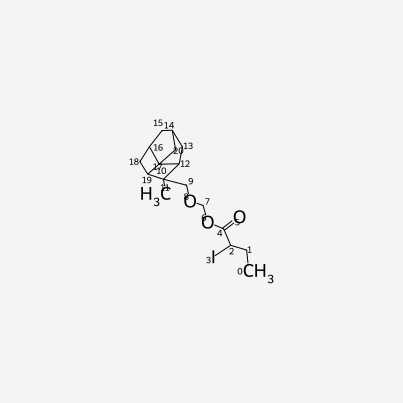 CCC(I)C(=O)OCOCC1(C)C2CC3CC(C2)CC1C3